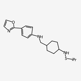 CC(C)SNC1CCC(CNc2ccc(-c3ncco3)cc2)CC1